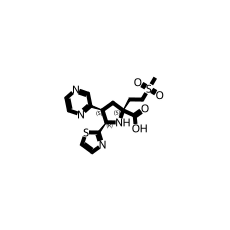 CS(=O)(=O)CC[C@]1(C(=O)O)C[C@H](c2cnccn2)[C@H](c2nccs2)N1